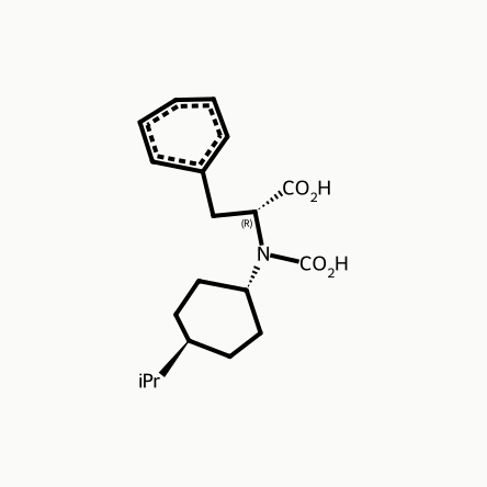 CC(C)[C@H]1CC[C@H](N(C(=O)O)[C@H](Cc2ccccc2)C(=O)O)CC1